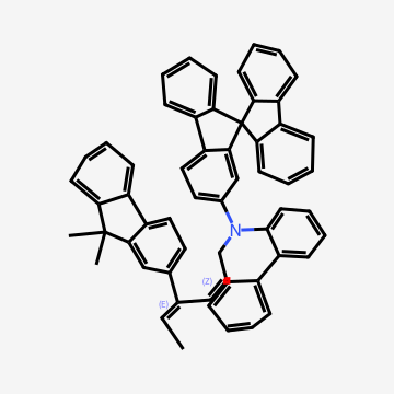 C/C=C(\C=C/CN(c1ccc2c(c1)C1(c3ccccc3-c3ccccc31)c1ccccc1-2)c1ccccc1-c1ccccc1)c1ccc2c(c1)C(C)(C)c1ccccc1-2